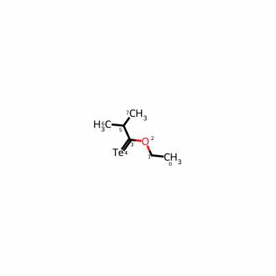 CCOC(=[Te])C(C)C